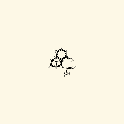 O=CO.O=c1ccoc2c3cc(cc12)C3